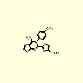 CCOC(=O)c1csc(C2N=c3occc3=C(N)N2c2ccc(OC)cc2)n1